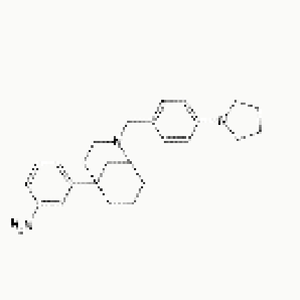 Nc1cccc(C23CCCC(C2)N(Cc2ccc(N4CCCC4)cc2)CC3)c1